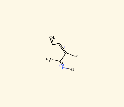 C=C/C=C(\C(C)=N/CC)C(C)C